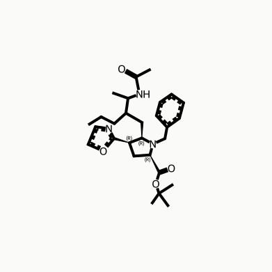 CCCC(C[C@@H]1[C@H](c2ncco2)C[C@H](C(=O)OC(C)(C)C)N1Cc1ccccc1)C(C)NC(C)=O